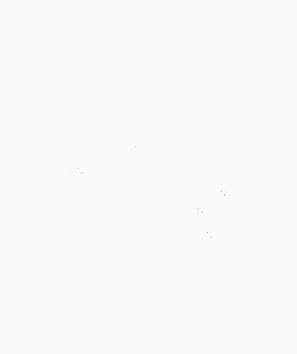 CC(C)OC(=O)C(N)(CC(C)(C)C)c1ccc(-n2nccn2)cc1